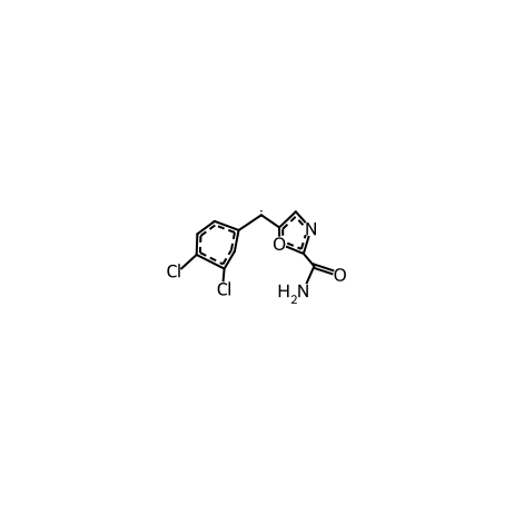 NC(=O)c1ncc([CH]c2ccc(Cl)c(Cl)c2)o1